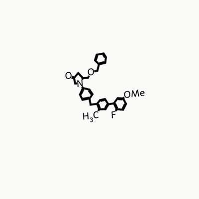 COc1ccc(F)c(-c2ccc(Cc3ccc(N4CC(=O)CC4COCc4ccccc4)cc3)c(C)c2)c1